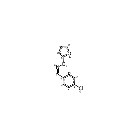 Clc1ccc(/C=N\Oc2ccco2)cc1